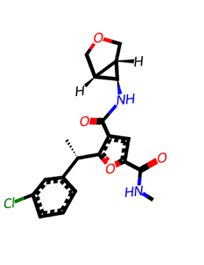 CNC(=O)c1cc(C(=O)N[C@H]2[C@@H]3COC[C@@H]32)c([C@@H](C)c2cccc(Cl)c2)o1